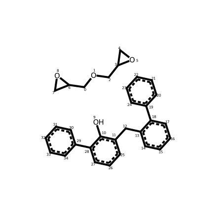 C(OCC1CO1)C1CO1.Oc1c(Cc2ccccc2-c2ccccc2)cccc1-c1ccccc1